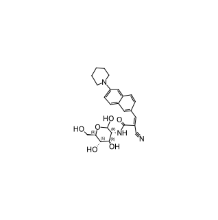 N#CC(=Cc1ccc2cc(N3CCCCC3)ccc2c1)C(=O)N[C@H]1C(O)O[C@H](CO)[C@@H](O)[C@@H]1O